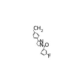 C=Cc1ccc(C2=NN(C(=O)c3cccc(F)c3)CC2)cc1